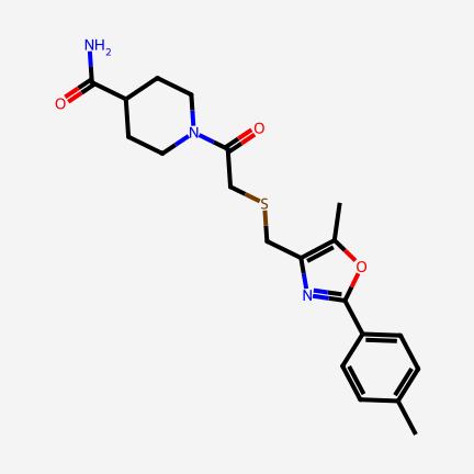 Cc1ccc(-c2nc(CSCC(=O)N3CCC(C(N)=O)CC3)c(C)o2)cc1